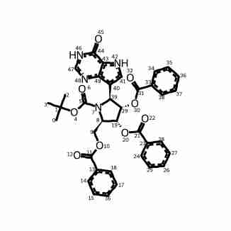 CC(C)(C)OC(=O)N1[C@H](COC(=O)c2ccccc2)[C@@H](OC(=O)c2ccccc2)[C@@H](OC(=O)c2ccccc2)[C@@H]1c1c[nH]c2c(=O)[nH]cnc12